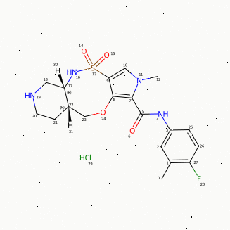 Cc1cc(NC(=O)c2c3c(cn2C)S(=O)(=O)N[C@H]2CNCC[C@H]2CO3)ccc1F.Cl